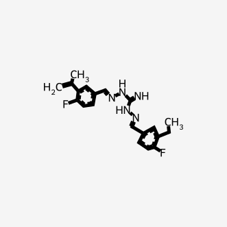 C=C(C)c1cc(/C=N/NC(=N)N/N=C/c2ccc(F)c(CC)c2)ccc1F